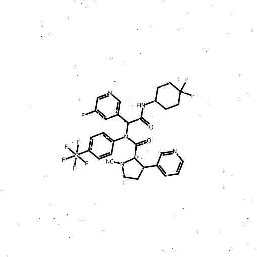 N#CN1CCC(c2cccnc2)[C@@H]1C(=O)N(c1ccc(S(F)(F)(F)(F)F)cc1)C(C(=O)NC1CCC(F)(F)CC1)c1cncc(F)c1